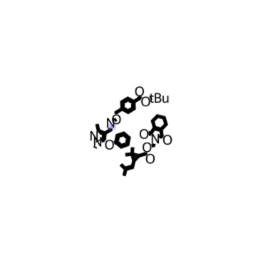 CC(C)=CC1C(C(=O)OCN2C(=O)C3=C(CCCC3)C2=O)C1(C)C.Cc1nn(C)c(Oc2ccccc2)c1/C=N/OCc1ccc(C(=O)OC(C)(C)C)cc1